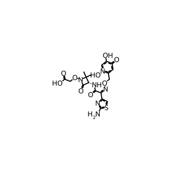 CC1(C)[C@H](NC(=O)/C(=N\OCc2cc(=O)c(O)cn2O)c2csc(N)n2)C(=O)N1OCC(=O)O